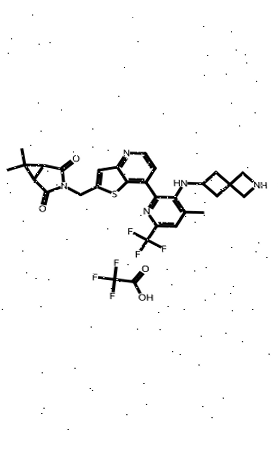 Cc1cc(C(F)(F)F)nc(-c2ccnc3cc(CN4C(=O)C5C(C4=O)C5(C)C)sc23)c1NC1CC2(CNC2)C1.O=C(O)C(F)(F)F